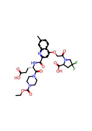 CCOC(=O)N1CCN(C(=O)[C@H](CCC(=O)O)NC(=O)c2cc(OCC(=O)N3CC(F)(F)CC3C(=O)O)c3ccc(C)cc3n2)CC1